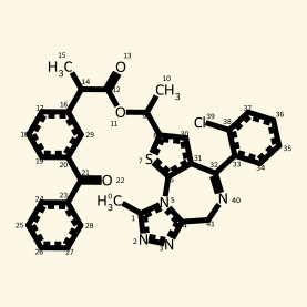 Cc1nnc2n1-c1sc(C(C)OC(=O)C(C)c3cccc(C(=O)c4ccccc4)c3)cc1C(c1ccccc1Cl)=NC2